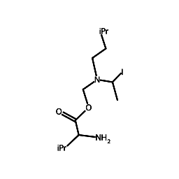 CC(C)CCN(COC(=O)C(N)C(C)C)C(C)I